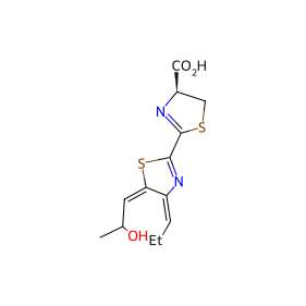 CC/C=c1/nc(C2=N[C@@H](C(=O)O)CS2)s/c1=C/C(C)O